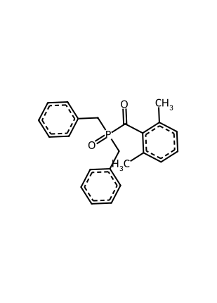 Cc1cccc(C)c1C(=O)P(=O)(Cc1ccccc1)Cc1ccccc1